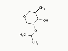 CC(C)O[C@@H]1COC[C@@H](C)[C@@H]1O